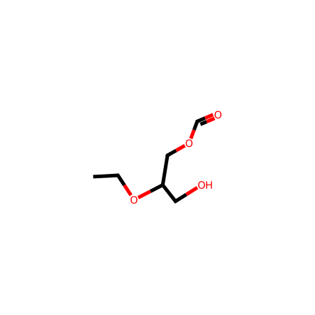 CCOC(CO)COC=O